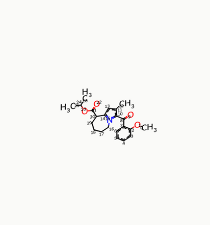 COc1ccccc1C(=O)c1c(C)cc2n1CCCCC2C(=O)OC(C)C